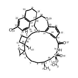 C[C@@H]1[C@@H](C)CCC[C@]2(CO2)[C@@H]2CC[C@H]2CN2C[C@@]3(CCCc4cc(Cl)ccc43)COc3ccc(cc32)C(=O)NS1(=O)=O